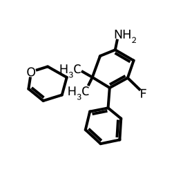 C1=COCCC1.CC1(C)CC(N)=CC(F)=C1c1ccccc1